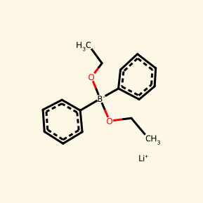 CCO[B-](OCC)(c1ccccc1)c1ccccc1.[Li+]